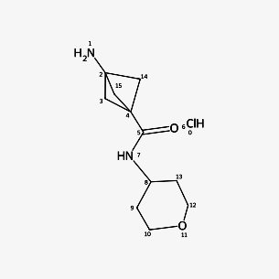 Cl.NC12CC(C(=O)NC3CCOCC3)(C1)C2